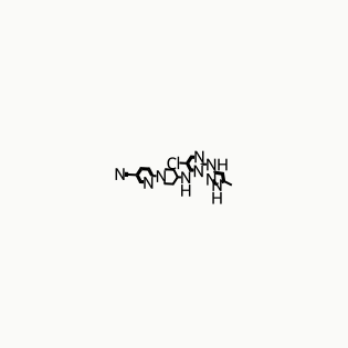 Cc1cc(Nc2ncc(Cl)c(NC3CCN(c4ccc(C#N)cn4)CC3)n2)n[nH]1